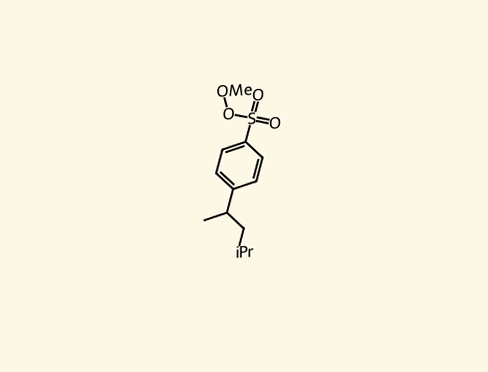 COOS(=O)(=O)c1ccc(C(C)CC(C)C)cc1